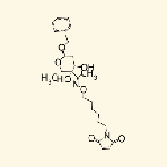 C/C(=N\OCCCCCCN1C(=O)C=CC1=O)[C@]1(O)[C@H](O)C[C@H](OCc2ccccc2)O[C@H]1C